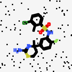 Cc1c(Cl)cccc1S(=O)(=O)Nc1cc(C2(C)CCSC(N)=N2)ccc1F